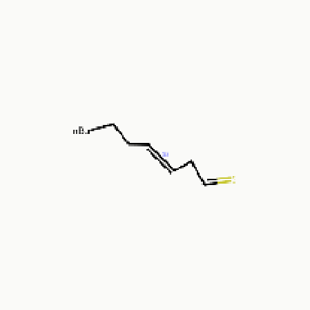 CCCCCC/C=C/C[C]=S